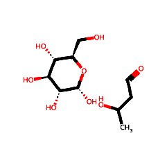 CC(O)CC=O.OC[C@H]1O[C@H](O)[C@H](O)[C@@H](O)[C@@H]1O